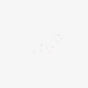 COc1ccc2c(c1)C(=O)C(=O)N2Cc1ccccc1Cl